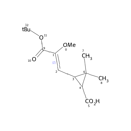 CO/C(=C\C1C(C(=O)O)C1(C)C)C(=O)OC(C)(C)C